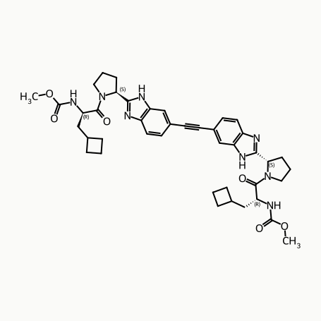 COC(=O)N[C@H](CC1CCC1)C(=O)N1CCC[C@H]1c1nc2ccc(C#Cc3ccc4nc([C@@H]5CCCN5C(=O)[C@@H](CC5CCC5)NC(=O)OC)[nH]c4c3)cc2[nH]1